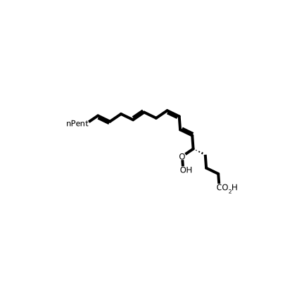 CCCCCC=CCC=CC/C=C\C=C\[C@H](CCCC(=O)O)OO